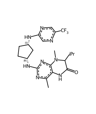 Cc1nc(N[C@@H]2CC[C@H](Nc3cnc(C(F)(F)F)cn3)C2)nc2c1NC(=O)C(C(C)C)N2C